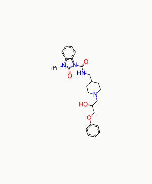 CC(C)n1c(=O)n(C(=O)NCC2CCN(CC(O)COc3ccccc3)CC2)c2ccccc21